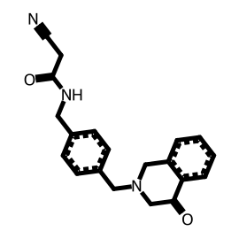 N#CCC(=O)NCc1ccc(CN2CC(=O)c3ccccc3C2)cc1